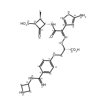 C[C@H]1[C@H](NC(=O)/C(=N\O[C@@H](COc2ccc(C(=N)NC3CNC3)cc2)C(=O)O)c2nsc(N)n2)C(=O)N1S(=O)(=O)O